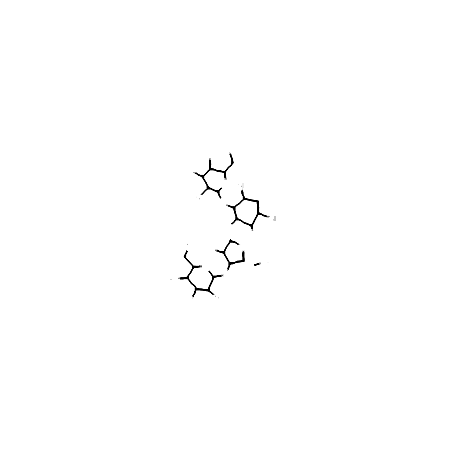 NCC1OC(OC2C(O)[C@H](OC3C(O)C(N)CC(N)C3OC3OC(CO)C(O)C(O)C3N)O[C@@H]2CO)C(N)C(O)C1O